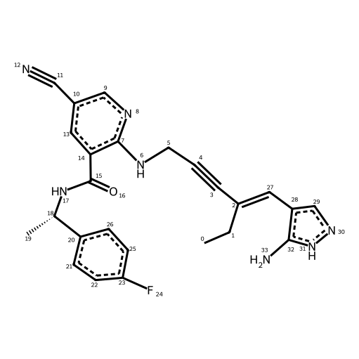 CC/C(C#CCNc1ncc(C#N)cc1C(=O)N[C@@H](C)c1ccc(F)cc1)=C\c1cn[nH]c1N